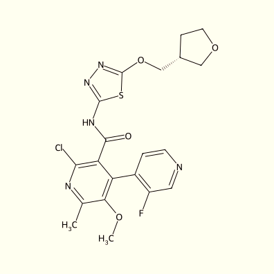 COc1c(C)nc(Cl)c(C(=O)Nc2nnc(OC[C@@H]3CCOC3)s2)c1-c1ccncc1F